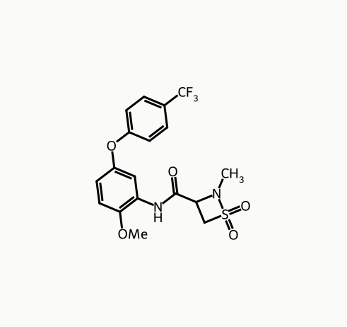 COc1ccc(Oc2ccc(C(F)(F)F)cc2)cc1NC(=O)C1CS(=O)(=O)N1C